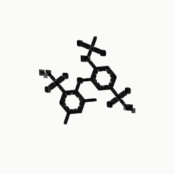 Cc1cc(C)c(Oc2cc(S(N)(=O)=O)ccc2NS(C)(=O)=O)c(S(N)(=O)=O)c1